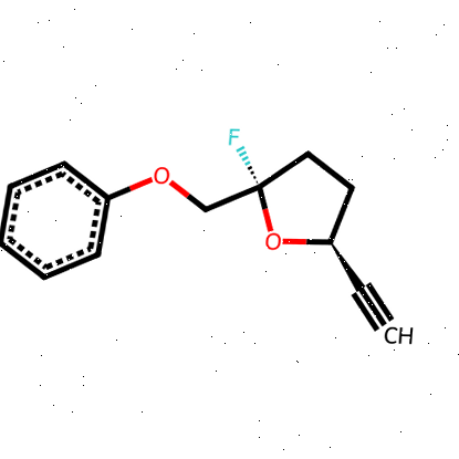 C#C[C@@H]1CC[C@](F)(COc2ccccc2)O1